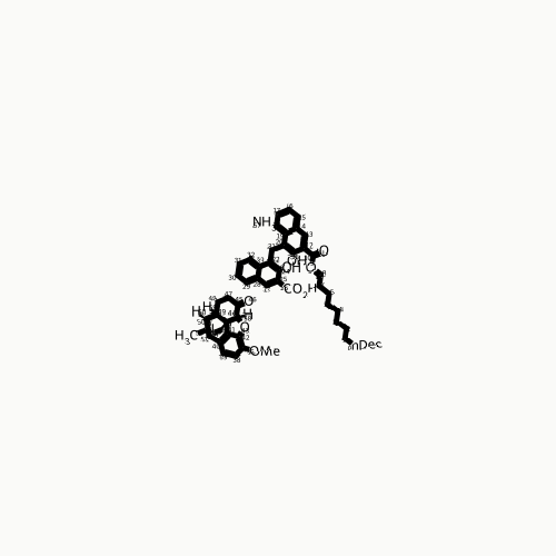 CCCCCCCCCCCCCCCCCCOC(=O)c1cc2ccccc2c(Cc2c(O)c(C(=O)O)cc3ccccc23)c1O.COc1ccc2c3c1O[C@H]1C(=O)CC[C@H]4[C@@H](C2)N(C)CC[C@]314.N